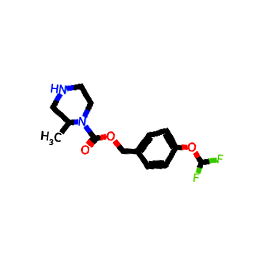 CC1CNCCN1C(=O)OCc1ccc(OC(F)F)cc1